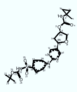 CC1(NC(=O)O[C@H]2CO[C@@H](c3cnc(Nc4ccc(S(=O)(=O)NC(=O)OC(C)(C)C)cc4)nc3)C2)CC1